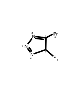 CC(C)C1=NN=NC1F